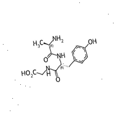 C[C@@H](N)C(=O)N[C@H](Cc1ccc(O)cc1)C(=O)NCC(=O)O